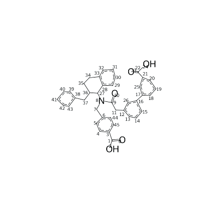 O=C(O)c1ccc(CN(C(=O)Cc2cccc(-c3cccc(C(=O)O)c3)c2)C2c3ccccc3CCC2Cc2ccccc2)cc1